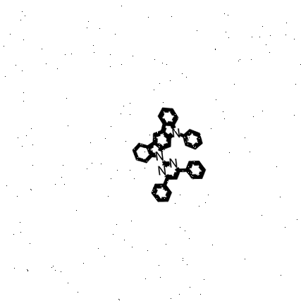 c1ccc(-c2cc(-c3ccccc3)nc(-n3c4c(c5cc6c7ccccc7n(-c7ccccc7)c6cc53)CCCC4)n2)cc1